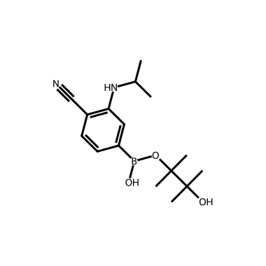 CC(C)Nc1cc(B(O)OC(C)(C)C(C)(C)O)ccc1C#N